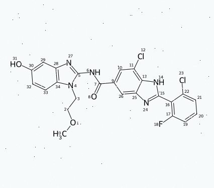 COCCn1c(NC(=O)c2cc(Cl)c3[nH]c(-c4c(F)cccc4Cl)nc3c2)nc2cc(O)ccc21